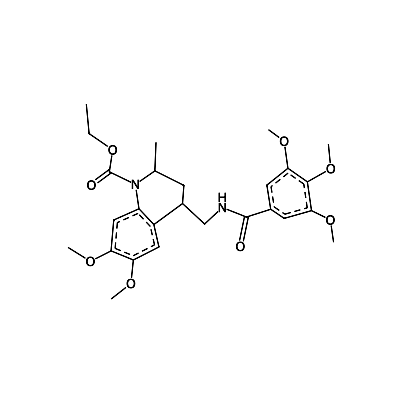 CCOC(=O)N1c2cc(OC)c(OC)cc2C(CNC(=O)c2cc(OC)c(OC)c(OC)c2)CC1C